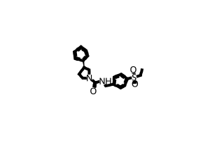 CCS(=O)(=O)c1ccc(CNC(=O)N2CC[C@@H](c3ccccc3)C2)cc1